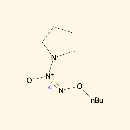 CCCCO/N=[N+](/[O-])N1[CH]CCC1